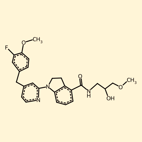 COCC(O)CNC(=O)c1cccc2c1CCN2c1cc(Cc2ccc(OC)c(F)c2)ccn1